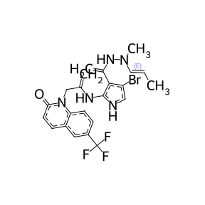 C=C(Cn1c(=O)ccc2cc(C(F)(F)F)ccc21)Nc1[nH]cc(Br)c1C(=C)NN(C)/C=C/C